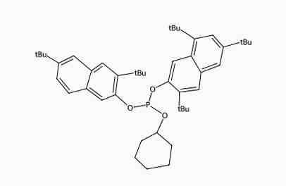 CC(C)(C)c1ccc2cc(OP(Oc3cc4c(C(C)(C)C)cc(C(C)(C)C)cc4cc3C(C)(C)C)OC3CCCCC3)c(C(C)(C)C)cc2c1